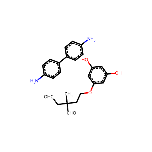 CC(C=O)(CC=O)CCOc1cc(O)cc(O)c1.Nc1ccc(-c2ccc(N)cc2)cc1